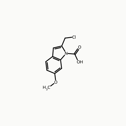 COc1ccc2cc(CCl)n(C(=O)O)c2c1